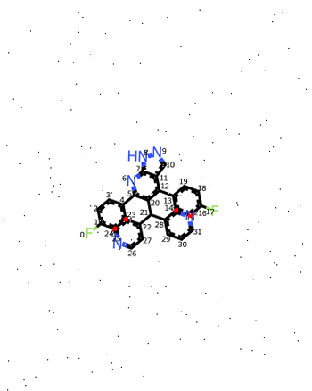 Fc1ccc(-c2nc3[nH]ncc3c(-c3ccc(F)cc3)c2C(c2ccncc2)c2cccnc2)cc1